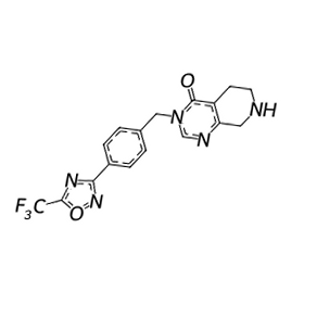 O=c1c2c(ncn1Cc1ccc(-c3noc(C(F)(F)F)n3)cc1)CNCC2